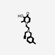 C#CCN(CCn1ccc(=O)c(O)c1C)Cc1cccc(C)c1